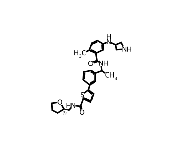 Cc1ccc(NC2CNC2)cc1C(=O)NC(C)c1cccc(-c2ccc(C(=O)NC[C@H]3CCCO3)s2)c1